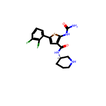 NC(=O)Nc1sc(-c2cccc(F)c2F)cc1C(=O)N[C@H]1CCCNC1